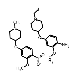 COc1cc(OC2CCN(C)CC2)ccc1[N+](=O)[O-].COc1cc(OC2CCN(CI)CC2)ccc1N